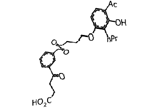 CCCc1c(OCCCS(=O)(=O)c2cccc(C(=O)CCC(=O)O)c2)ccc(C(C)=O)c1O